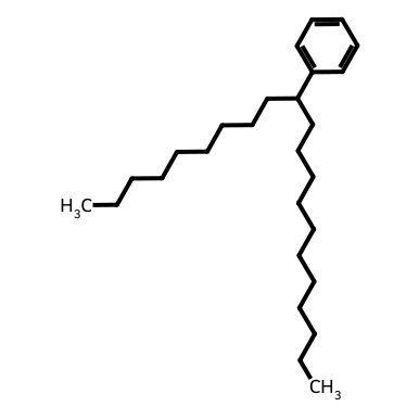 CCCCCCCCCCCC(CCCCCCCCC)c1ccccc1